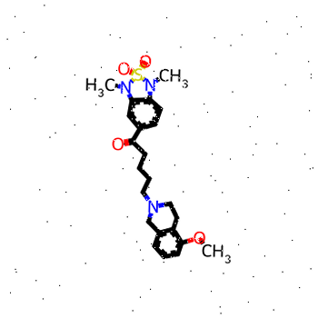 COc1cccc2c1CCN(CCCCC(=O)c1ccc3c(c1)N(C)S(=O)(=O)N3C)C2